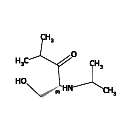 CC(C)N[C@H](CO)C(=O)C(C)C